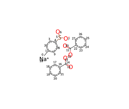 Cc1ccc(S(=O)[O-])cc1.O=C(OOC(=O)c1ccccc1)c1ccccc1.[Na+]